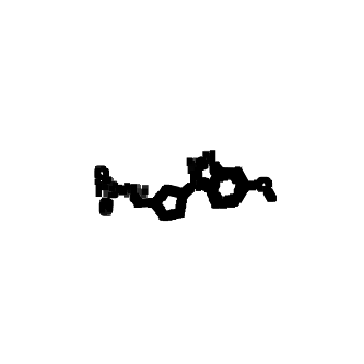 COc1ccc2c(c1)nnn2C1CCC(CN[SH](=O)=O)C1